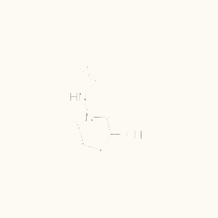 CC1CCCN(NC=O)C1